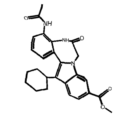 COC(=O)c1ccc2c(C3CCCCC3)c3n(c2c1)CC(=O)Nc1c(NC(C)=O)cccc1-3